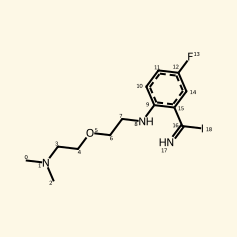 CN(C)CCOCCNc1ccc(F)cc1C(=N)I